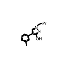 Cc1cccc(-c2cn(CC(C)C)nc2O)c1